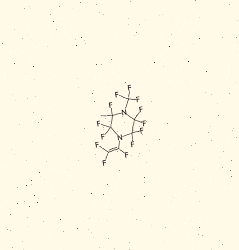 CC1(F)N(C(F)(F)F)C(F)(F)C(F)(F)N(C(F)=C(F)F)C1(F)F